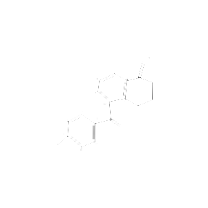 O=C1CCCc2c1cccc2C(=O)c1ccc(Cl)cc1